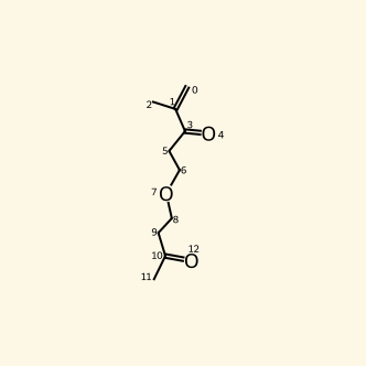 C=C(C)C(=O)CCOCCC(C)=O